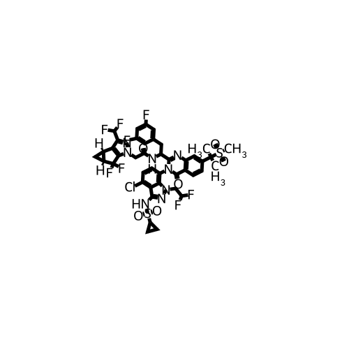 CC(C)(c1ccc2c(=O)n(-c3ccc(Cl)c4c(NS(=O)(=O)C5CC5)nn(CC(F)F)c34)c(C(Cc3cc(F)cc(F)c3)NC(=O)Cn3nc(C(F)F)c4c3C(F)(F)[C@@H]3C[C@H]43)nc2c1)S(C)(=O)=O